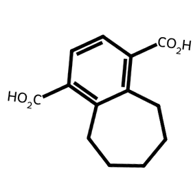 O=C(O)c1ccc(C(=O)O)c2c1CCCCC2